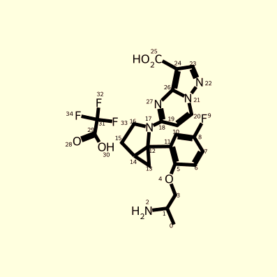 CC(N)COc1ccc(F)cc1C12CC1CCN2c1ccn2ncc(C(=O)O)c2n1.O=C(O)C(F)(F)F